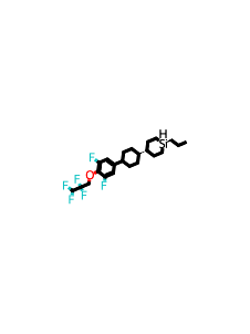 CCC[Si@H]1CC[C@H](C2CCC(c3cc(F)c(OCC(F)(F)C(F)F)c(F)c3)CC2)CC1